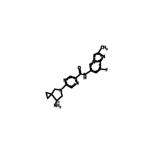 Cc1cn2cc(NC(=O)c3cnc(N4C[C@@H](N)C5(CC5)C4)cn3)cc(F)c2n1